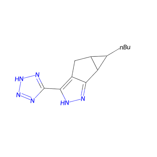 CCCCC1C2Cc3c(n[nH]c3-c3nn[nH]n3)C12